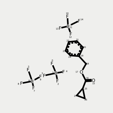 F[B-](F)(F)F.F[B-](F)(F)F.F[B-](F)(F)F.O=C(OCc1ccccc1)C1CC1